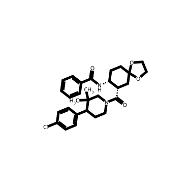 CC1(C)CN(C(=O)[C@H]2CC3(CC[C@H]2NC(=O)c2ccccc2)OCCO3)CCC1c1ccc(Cl)cc1